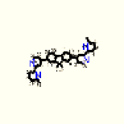 Cc1cccc(-c2cc(-c3ccc4c(c3)C(C)(C)c3cc(-c5ccnc(-c6cccc(C)n6)c5)ccc3-4)ccn2)n1